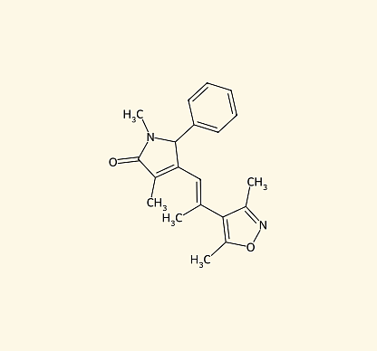 CC1=C(/C=C(\C)c2c(C)noc2C)C(c2ccccc2)N(C)C1=O